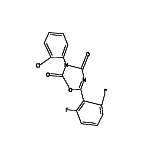 O=c1nc(-c2c(F)cccc2F)oc(=O)n1-c1ccccc1Cl